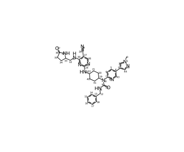 Cn1cc(-c2ccc(N(C(=O)NCc3ccccc3)C3CCC(Nc4ncc(C#N)c(NCC5CCC(=O)N5)n4)CC3)nc2)cn1